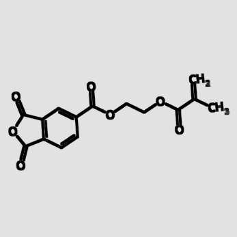 C=C(C)C(=O)OCCOC(=O)c1ccc2c(c1)C(=O)OC2=O